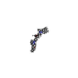 CC1=CC2c3c(-c4ccc(N(c5ccccc5)c5ccc6ccc7cccc8ccc5c6c78)cc4)ccc(-c4ccc(N(c5ccccc5)c5ccc6ccc7cccc8ccc5c6c78)cc4)c3C1CC2C(C)C